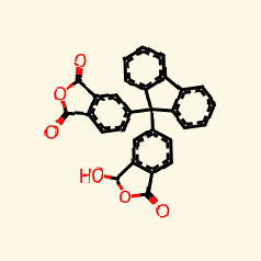 O=C1OC(=O)c2cc(C3(c4ccc5c(c4)C(O)OC5=O)c4ccccc4-c4ccccc43)ccc21